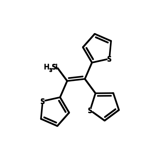 [SiH3]C(=C(c1cccs1)c1cccs1)c1cccs1